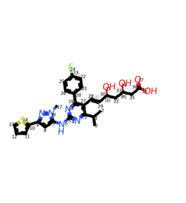 CC(C)c1nc(Nc2cc(-c3cccs3)nn2C)nc(-c2ccc(F)cc2)c1/C=C/[C@@H](O)C[C@@H](O)CC(=O)O